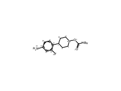 CC(C)(C)C(=O)ON1CCC(c2ccc(N)cc2F)CC1